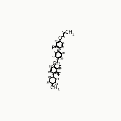 C=CCOc1ccc(-c2ccc(COc3ccc(C4CCC(C)CC4)c(F)c3F)cc2)c(F)c1